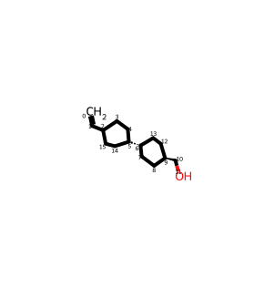 C=CC1CCC([C@H]2CC[C@H](CO)CC2)CC1